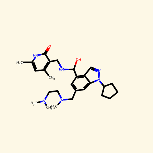 Cc1cc(C)c(CNC(O)c2cc(CN(C)CCN(C)C)cc3c2cnn3C2CCCC2)c(=O)[nH]1